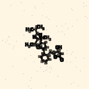 CC(C)C1=N[N+](C)(c2ccc(-c3ccccc3/C=C3\OC(=O)C=C3O)cc2)C(C(C)C)=N1